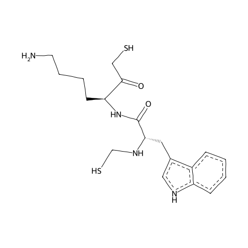 NCCCC[C@H](NC(=O)[C@H](Cc1c[nH]c2ccccc12)NCS)C(=O)CS